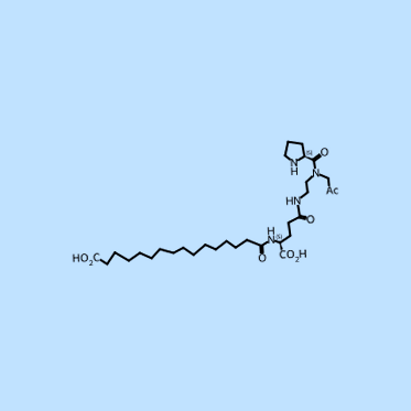 CC(=O)CN(CCNC(=O)CC[C@H](NC(=O)CCCCCCCCCCCCCCC(=O)O)C(=O)O)C(=O)[C@@H]1CCCN1